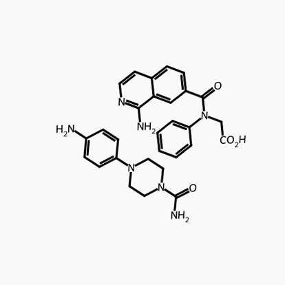 NC(=O)N1CCN(c2ccc(N)cc2)CC1.Nc1nccc2ccc(C(=O)N(CC(=O)O)c3ccccc3)cc12